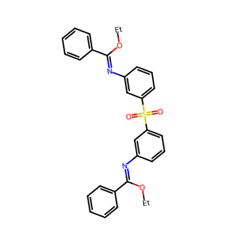 CCO/C(=N\c1cccc(S(=O)(=O)c2cccc(/N=C(\OCC)c3ccccc3)c2)c1)c1ccccc1